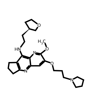 COc1nc2c(NCC[C@H]3CCOC3)c3c(nc2cc1OCCCN1CCCC1)CCC3